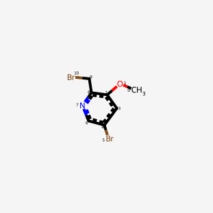 COc1cc(Br)cnc1CBr